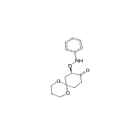 O=C1CCC2(C[C@H]1ONc1ccccc1)OCCCO2